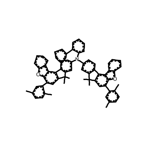 Cc1ccc(C)c(-c2cc3c(c4c2oc2ccccc24)-c2ccc(N(c4ccc5c(c4)C(C)(C)c4cc(-c6cc(C)ccc6C)c6oc7ccccc7c6c4-5)c4ccccc4-c4ccccc4)cc2C3(C)C)c1